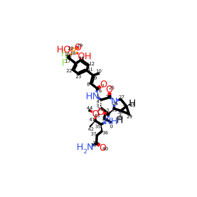 CCCC[C@H](NC(=O)/C=C(\C)c1ccc(C(F)(F)P(=O)(O)O)cc1)C(=O)N1C[C@H]2C[C@H]2[C@H]1C(=O)N[C@@H](CCC(N)=O)[C@@H](C)OC